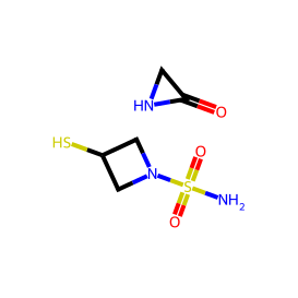 NS(=O)(=O)N1CC(S)C1.O=C1CN1